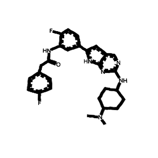 CN(C)C1CCC(Nc2ncc3cc(-c4ccc(F)c(NC(=O)Cc5ccc(F)cc5)c4)[nH]c3n2)CC1